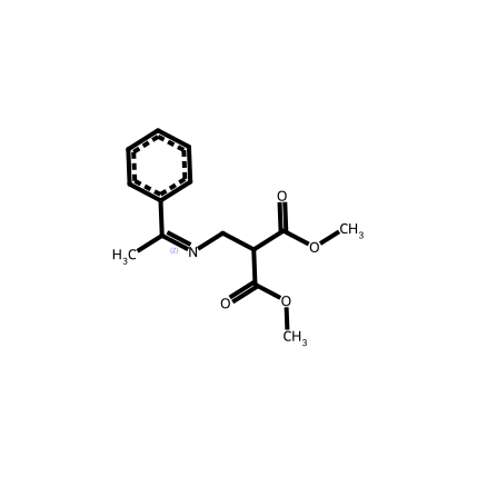 COC(=O)C(C/N=C(/C)c1ccccc1)C(=O)OC